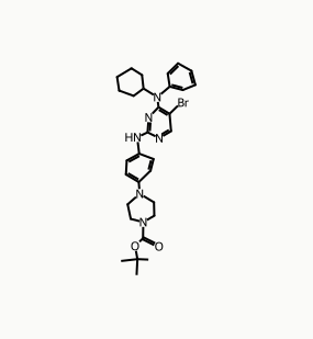 CC(C)(C)OC(=O)N1CCN(c2ccc(Nc3ncc(Br)c(N(c4ccccc4)C4CCCCC4)n3)cc2)CC1